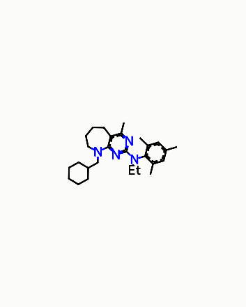 CCN(c1nc(C)c2c(n1)N(CC1CCCCC1)CCCC2)c1c(C)cc(C)cc1C